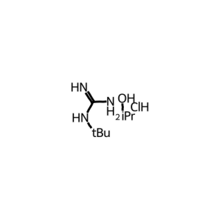 CC(C)(C)NC(=N)N.CC(C)O.Cl